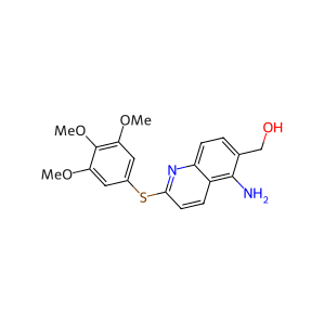 COc1cc(Sc2ccc3c(N)c(CO)ccc3n2)cc(OC)c1OC